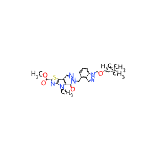 COC(=O)c1nc2c(s1)c1cnn(Cc3cccc4c3cnn4COCC[Si](C)(C)C)c(=O)c1n2C